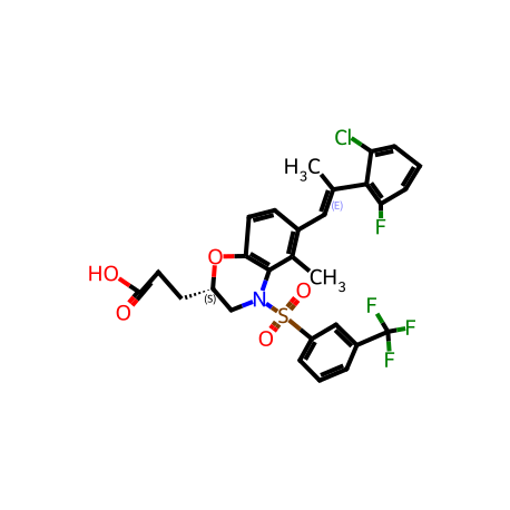 C/C(=C\c1ccc2c(c1C)N(S(=O)(=O)c1cccc(C(F)(F)F)c1)C[C@H](CCC(=O)O)O2)c1c(F)cccc1Cl